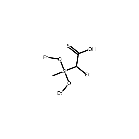 CCO[Si](C)(OCC)C(CC)C(O)=S